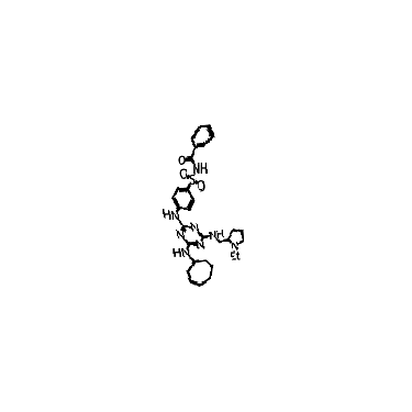 CCN1CCCC1CNc1nc(Nc2ccc(S(=O)(=O)NC(=O)c3ccccc3)cc2)nc(NC2CCCCCC2)n1